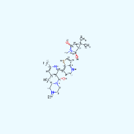 CCN1CCN(C(=O)c2c(C)cc(C(F)(F)F)nc2-c2ccnc3cc(CN4C(=O)C5C(C4=O)C5(C)C)sc23)CC1